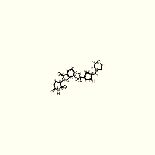 [2H]c1cc(C([2H])([2H])Oc2cccc3c2CN(C2CCC(=O)NC2=O)C3=O)ccc1CN1CCOCC1